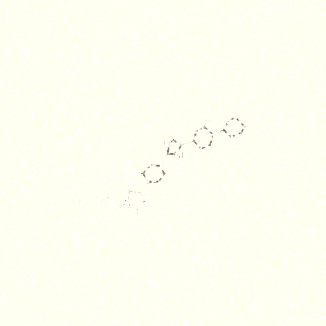 O=C(O)CCN1CCC(c2ccc(-c3ncc(-c4ccc(-c5ccccc5)c(C(F)(F)F)c4)[nH]3)cc2)C1